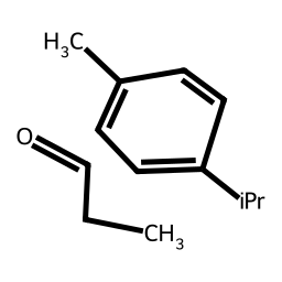 CCC=O.Cc1ccc(C(C)C)cc1